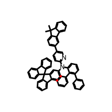 CC1(C)c2ccccc2-c2cc(-c3ccc(N(c4ccc5c(c4)C4(c6ccccc6-c6ccccc64)c4ccccc4-5)c4cccc(-c5ccccc5)c4-c4ccccc4)nc3)ccc21